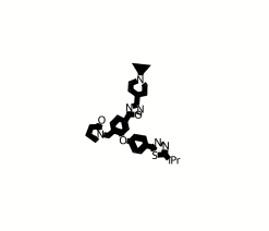 CC(C)c1nnc(-c2ccc(Oc3cc(-c4nc(C5CCN(C6CC6)CC5)no4)ccc3CN3CCCC3=O)cc2)s1